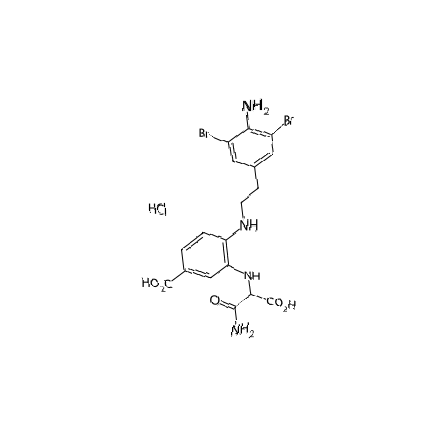 Cl.NC(=O)C(Nc1cc(C(=O)O)ccc1NCCc1cc(Br)c(N)c(Br)c1)C(=O)O